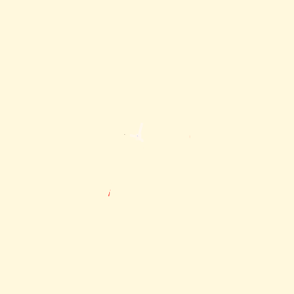 C=CCN1CC[C@@]23c4c5ccc(O)c4CC1C2CC[C@H](O)C3O5